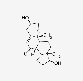 C[C@]12CC[C@H](O)CC1=CC(=O)[C@@H]1C2CC[C@@]2(C)C1CC[C@@H]2O